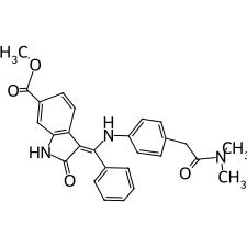 COC(=O)c1ccc2c(c1)NC(=O)C2=C(Nc1ccc(CC(=O)N(C)C)cc1)c1ccccc1